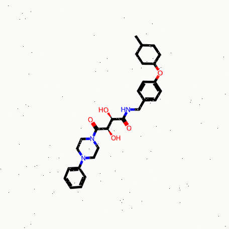 CC1CCC(Oc2ccc(CNC(=O)[C@H](O)[C@@H](O)C(=O)N3CCN(c4ccccc4)CC3)cc2)CC1